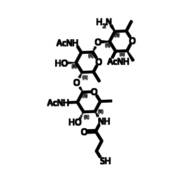 CC(=O)NC1[C@H](O[C@H]2C(C)O[C@@H](O[C@@H]3C(NC(C)=O)[C@H](C)OC(C)[C@@H]3N)C(NC(C)=O)[C@H]2O)OC(C)[C@H](NC(=O)CCS)[C@@H]1O